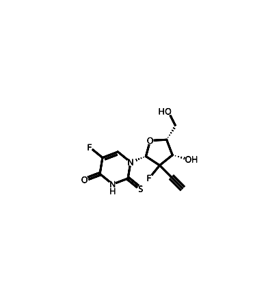 C#CC1(F)[C@@H](O)[C@@H](CO)O[C@H]1n1cc(F)c(=O)[nH]c1=S